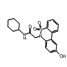 O=C(CN1c2ccc(O)cc2-c2ccccc2S1(=O)=O)NC1CCCCC1